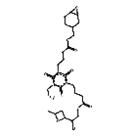 CCC(COC(=O)CCCn1c(=O)n(CCCC(=O)OCC2CCC3OC3C2)c(=O)n(CC(=O)O)c1=O)C1CC(C)O1